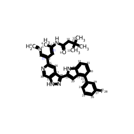 C=N/C=C(\C=C(/C)NC(=O)CC(C)(C)C)c1cc2c(-c3cc4c(-c5cccc(F)c5)cccc4[nH]3)n[nH]c2cn1